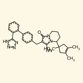 CCCc1c(Cc2ccc(-c3ccccc3-c3nnn[nH]3)cc2)c(=O)n2n1C(C1(C(=O)O)CC(C)=C(C)C1)CCC2